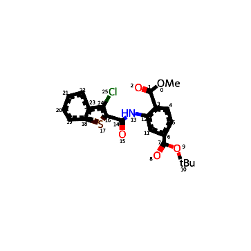 COC(=O)c1ccc(C(=O)OC(C)(C)C)cc1NC(=O)c1sc2ccccc2c1Cl